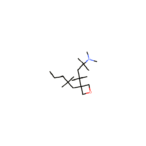 CCCC(C)(C)CC1(C(C)(C)CC(C)(C)N(C)C)COC1